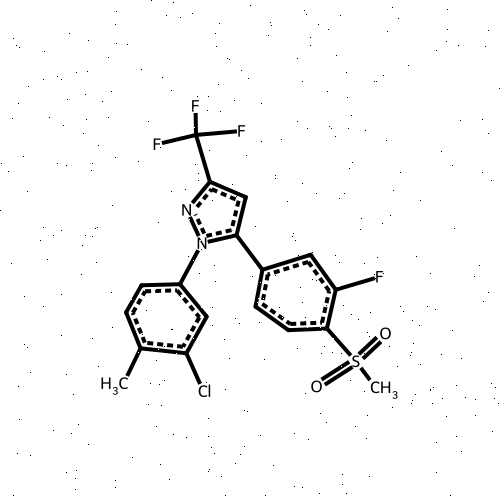 Cc1ccc(-n2nc(C(F)(F)F)cc2-c2ccc(S(C)(=O)=O)c(F)c2)cc1Cl